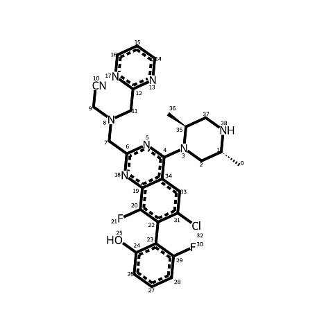 C[C@@H]1CN(c2nc(CN(CC#N)Cc3ncccn3)nc3c(F)c(-c4c(O)cccc4F)c(Cl)cc23)[C@@H](C)CN1